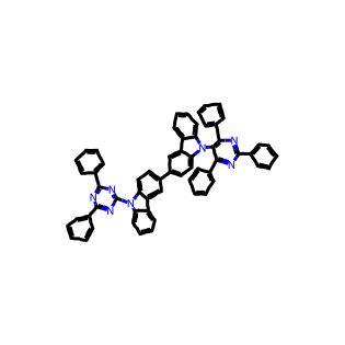 c1ccc(-c2nc(-c3ccccc3)nc(-n3c4ccccc4c4cc(-c5ccc6c(c5)c5ccccc5n6-c5c(-c6ccccc6)nc(-c6ccccc6)nc5-c5ccccc5)ccc43)n2)cc1